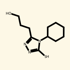 OCCCc1nnc(S)n1C1CCCCC1